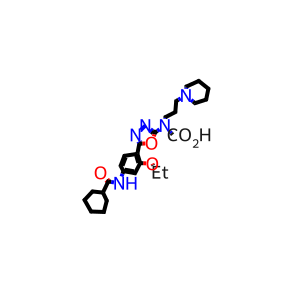 CCOc1cc(NC(=O)C2CCCCC2)ccc1-c1nnc(N(CCCN2CCCCC2)C(=O)O)o1